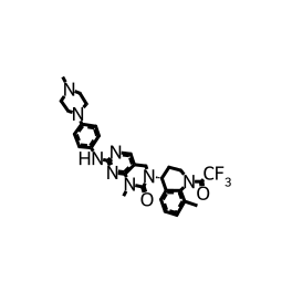 Cc1cccc2c1N(C(=O)C(F)(F)F)CC[C@H]2N1Cc2cnc(Nc3ccc(N4CCN(C)CC4)cc3)nc2N(C)C1=O